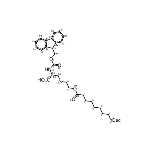 CCCCCCCCCCCCCCCCCC(=O)OCCSC[C@H](NC(=O)OCC1c2ccccc2-c2ccccc21)C(=O)O